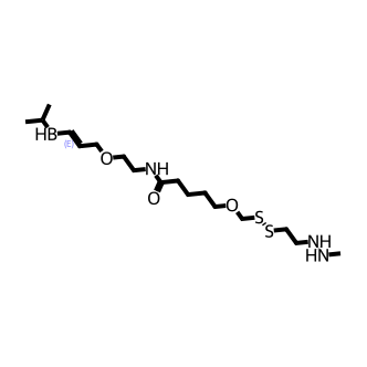 CNNCCSSCOCCCCC(=O)NCCOC/C=C/BC(C)C